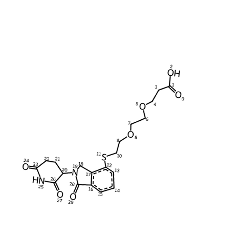 O=C(O)CCOCCOCCSc1cccc2c1CN(C1CCC(=O)NC1=O)C2=O